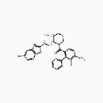 Cc1ccc(C(=O)N2CCC[C@@H](C)[C@H]2CNc2nc3cc(F)ccc3o2)c(-c2ncccn2)c1F